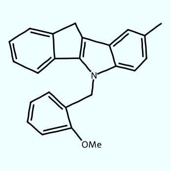 COc1ccccc1Cn1c2c(c3cc(C)ccc31)Cc1ccccc1-2